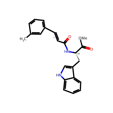 COC(=O)[C@H](Cc1c[nH]c2ccccc12)NC(=O)/C=C/c1cccc(C)c1